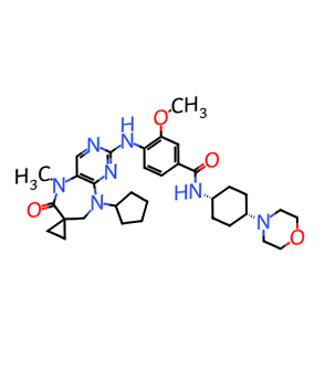 COc1cc(C(=O)N[C@H]2CC[C@@H](N3CCOCC3)CC2)ccc1Nc1ncc2c(n1)N(C1CCCC1)CC1(CC1)C(=O)N2C